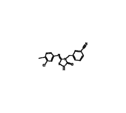 Cc1ccc(/N=c2\s[nH]c(=O)n2Cc2cccc(C#N)c2)cc1Cl